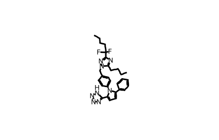 CCCCc1nc(C(F)(F)CCCC)nn1Cc1ccc(-n2c(-c3ccccc3)ccc2-c2nnn[nH]2)cc1